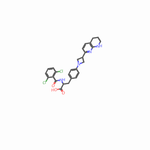 O=C(NC(Cc1ccc(N2CC(c3ccc4c(n3)NCCC4)C2)cc1)C(=O)O)c1c(Cl)cccc1Cl